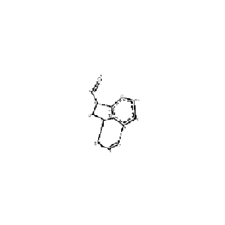 O=CC1CC2CC=Cc3cccc1c32